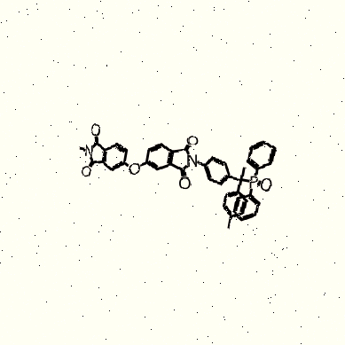 Cc1ccc(C(C)(c2ccc(N3C(=O)c4ccc(Oc5ccc6c(c5)C(=O)N(C)C6=O)cc4C3=O)cc2)P(=O)(c2ccccc2)c2ccccc2)cc1